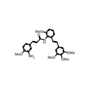 COc1ccc(/C=C/C(=O)Nc2c(C=Cc3cc(OC)c(OC)c(OC)c3)cccc2OC)cc1N